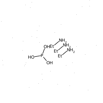 CCN.CCN.CCN.OP(O)O